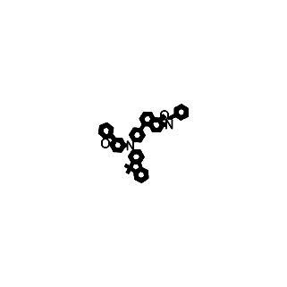 CC1(C)c2ccccc2-c2ccc(N(c3ccc(-c4cccc5c4ccc4nc(-c6ccccc6)oc45)cc3)c3ccc4oc5ccccc5c4c3)cc21